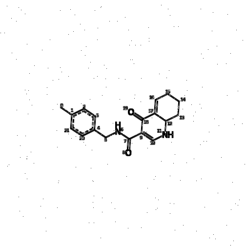 Cc1ccc(CNC(=O)C2=CNC3CCCC=C3C2=O)cc1